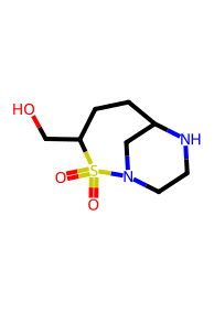 O=S1(=O)C(CO)CCC2CN1CCN2